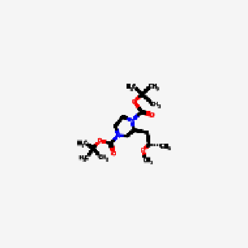 CO[C@@H](C)CC1CN(C(=O)OC(C)(C)C)CCN1C(=O)OC(C)(C)C